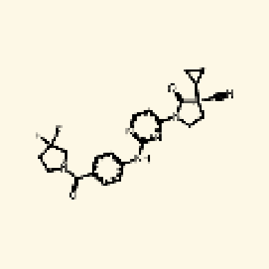 N#C[C@@]1(C2CC2)CCN(c2ccnc(Nc3ccc(C(=O)N4CCC(F)(F)C4)cc3)n2)C1=O